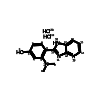 CN(C)c1cc(O)ccc1-c1nc2ncccc2[nH]1.Cl.Cl